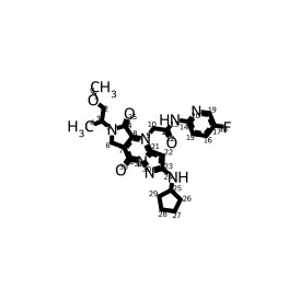 COCC(C)N1Cc2c(n(CC(=O)Nc3ccc(F)cn3)c3cc(NC4CCCC4)nn3c2=O)C1=O